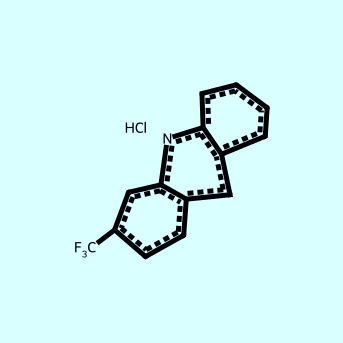 Cl.FC(F)(F)c1ccc2cc3ccccc3nc2c1